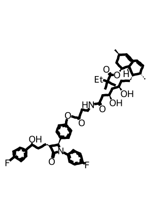 CCC(C)(C)C(=O)O[C@H]1C[C@@H](C)C=C2C=C[C@H](C)[C@H](CC[C@@H](O)C[C@@H](O)CC(=O)NCCC(=O)Oc3ccc([C@@H]4[C@@H](CC[C@H](O)c5ccc(F)cc5)C(=O)N4c4ccc(F)cc4)cc3)[C@H]21